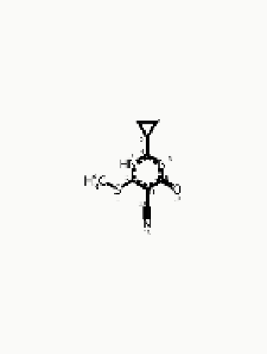 CSc1[nH]c(C2CC2)nc(=O)c1C#N